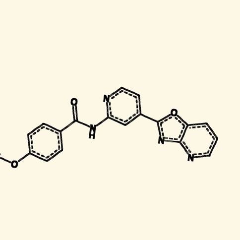 O=C(Nc1cc(-c2nc3ncccc3o2)ccn1)c1ccc(OC(F)(F)F)cc1